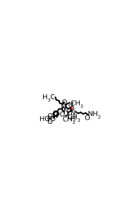 CCCCCC(=O)N1C(Cc2ccc(OP(=O)(O)O)cc2)C(=O)N(C(C(=O)NCCCCCC(N)=O)C(C)CC)C12CCN(C)CC2